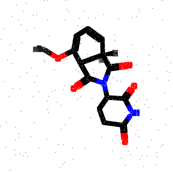 CCCCOC1=CC=C[C@@H]2C(=O)N(C3CCC(=O)NC3=O)C(=O)C12